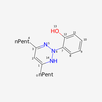 CCCCCC1=CC(CCCCC)=NN(c2ccccc2O)N1